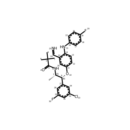 C[C@H](NC(=O)C(C)(C)C)[C@H](Oc1ccc(Nc2ccc(F)cc2)c(C=N)c1)c1cc(F)cc(Cl)c1